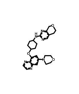 c1cnc2c(OC3CCC(Nc4ncc5c(n4)COCC5)CC3)cc(N3CCOCC3)cc2n1